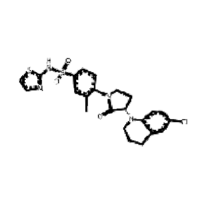 Cc1cc(S(=O)(=O)Nc2nccs2)ccc1N1CC[C@H](N2CCCc3cc(Cl)ccc32)C1=O